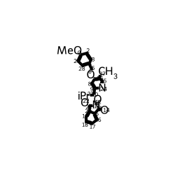 COc1ccc(COc2cc(C(ON3C(=O)c4ccccc4C3=O)C(C)C)ncc2C)cc1